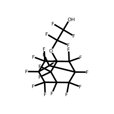 OC(F)(F)C(F)(F)OC12C(F)(F)C3(F)C(F)(F)C(F)(C(F)(F)C(F)(C3(F)F)C1(F)F)C2(F)F